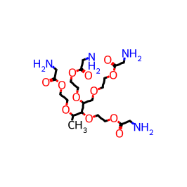 CC(OCCOC(=O)CN)C(OCCOC(=O)CN)C(COCCOC(=O)CN)OCCOC(=O)CN